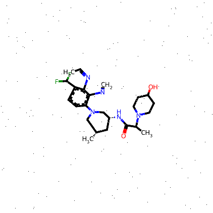 C=Nc1c(N2C[C@@H](C)C[C@@H](NC(=O)C(C)N3CCC(O)CC3)C2)ccc(C(F)F)c1/N=C\C